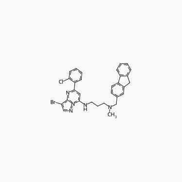 CN(CCCNc1cc(-c2ccccc2Cl)nc2c(Br)cnn12)Cc1ccc2c(c1)Cc1ccccc1-2